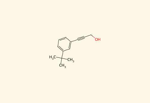 CC(C)(C)c1cccc(C#CCO)c1